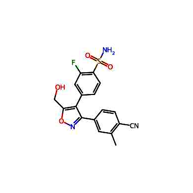 Cc1cc(-c2noc(CO)c2-c2ccc(S(N)(=O)=O)c(F)c2)ccc1C#N